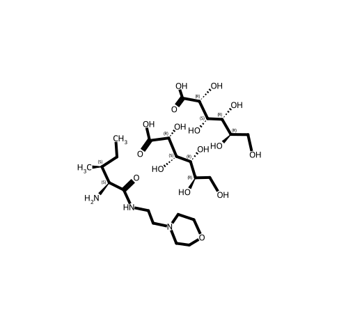 CC[C@H](C)[C@H](N)C(=O)NCCN1CCOCC1.O=C(O)[C@H](O)[C@@H](O)[C@H](O)[C@H](O)CO.O=C(O)[C@H](O)[C@@H](O)[C@H](O)[C@H](O)CO